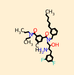 CCCCC=Cc1cccc(CN(C[C@@H](O)[C@@H](N)Cc2cc(F)cc(F)c2)C(=O)c2cc(C)cc(C(=O)N(CCC)CCC)c2)c1